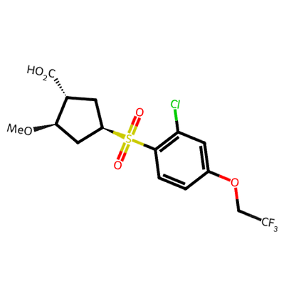 CO[C@@H]1C[C@H](S(=O)(=O)c2ccc(OCC(F)(F)F)cc2Cl)C[C@H]1C(=O)O